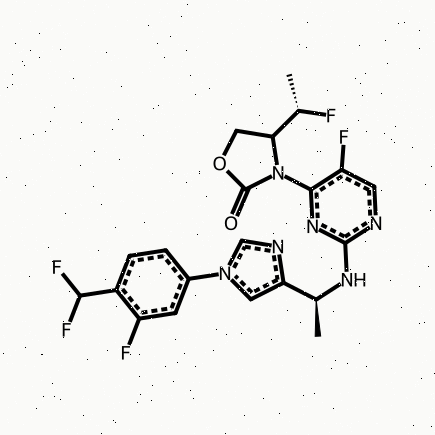 C[C@H](Nc1ncc(F)c(N2C(=O)OCC2[C@H](C)F)n1)c1cn(-c2ccc(C(F)F)c(F)c2)cn1